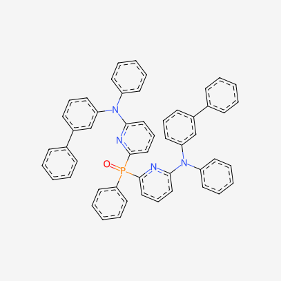 O=P(c1ccccc1)(c1cccc(N(c2ccccc2)c2cccc(-c3ccccc3)c2)n1)c1cccc(N(c2ccccc2)c2cccc(-c3ccccc3)c2)n1